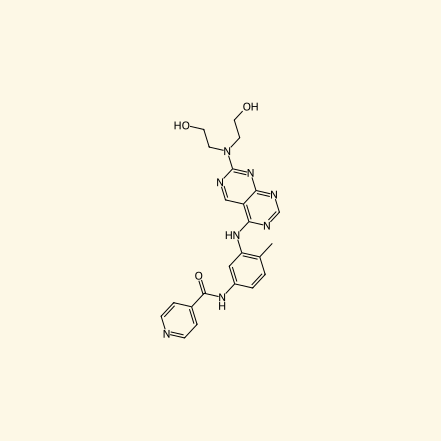 Cc1ccc(NC(=O)c2ccncc2)cc1Nc1ncnc2nc(N(CCO)CCO)ncc12